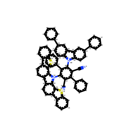 N#Cc1c(-c2ccccc2)c(C#N)c(-n2c3c(ccc4c5ccccc5sc43)c3ccc4c5ccccc5sc4c32)c(-c2ccccc2)c1-n1c2ccc(-c3ccccc3)cc2c2cc(-c3ccccc3)ccc21